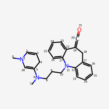 CN1C=CCC(N(C)CCCN2c3ccccc3CC(=C=O)c3ccccc32)=C1